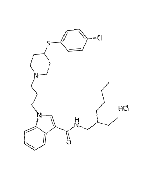 CCCCC(CC)CNC(=O)c1cn(CCCN2CCC(Sc3ccc(Cl)cc3)CC2)c2ccccc12.Cl